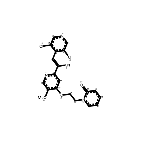 COc1cnc(C(C#N)=Cc2c(Cl)cncc2Cl)cc1OCCn1ccccc1=O